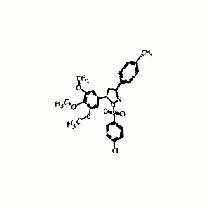 COc1cc(C2CC(c3ccc(C)cc3)=NN2S(=O)(=O)c2ccc(Cl)cc2)cc(OC)c1OC